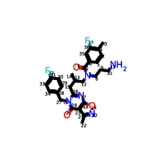 Cc1ccc(C(=O)N(CCCN)CC(C)Cc2nc3onc(C)c3c(=O)n2Cc2ccc(F)cc2)cc1F